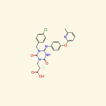 Cc1cccc(Oc2ccc(/N=c3\[nH]c(=O)n(C[C@H](C)C(=O)O)c(=O)n3Cc3ccc(Cl)cc3)cc2)n1